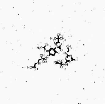 CC(C)Oc1cc(-n2nc(C(C)(C)C)oc2=O)c(Cl)cc1Cl.CCNc1nc(Cl)nc(NC(C)(C)C#N)n1.O=C(O)CNCP(=O)(O)O